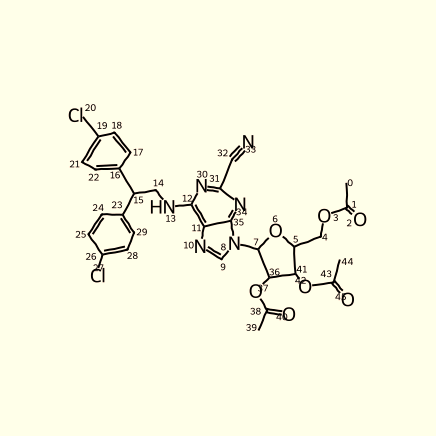 CC(=O)OCC1OC(n2cnc3c(NCC(c4ccc(Cl)cc4)c4ccc(Cl)cc4)nc(C#N)nc32)C(OC(C)=O)C1OC(C)=O